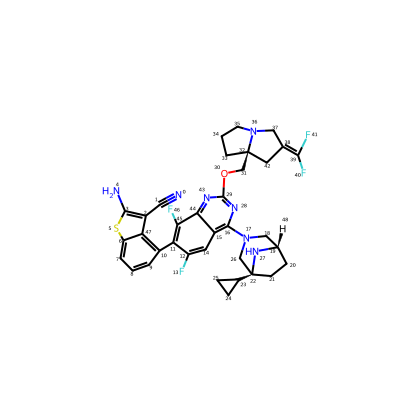 N#Cc1c(N)sc2cccc(-c3c(F)cc4c(N5C[C@@H]6CC[C@](C7CC7)(C5)N6)nc(OC[C@@]56CCCN5CC(=C(F)F)C6)nc4c3F)c12